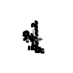 CCC(=O)CCCCC[C@H](NC(=O)Cc1c(C)[nH]c2ccc(OC)cc12)C1=[N+]C=C(c2ccccc2C(C)=O)N1